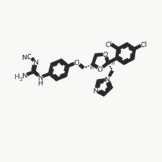 N#CN=C(N)Nc1ccc(OC[C@@H]2CO[C@@](Cn3ccnc3)(c3ccc(Cl)cc3Cl)O2)cc1